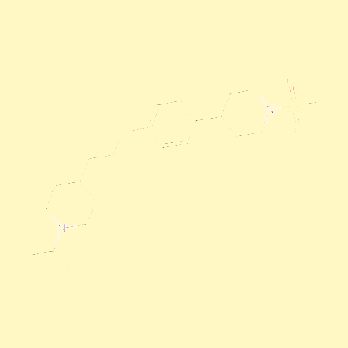 CC(C)N1CCC(CCOc2ccc(C3CCN(S(C)(=O)=O)CC3)cc2)CC1